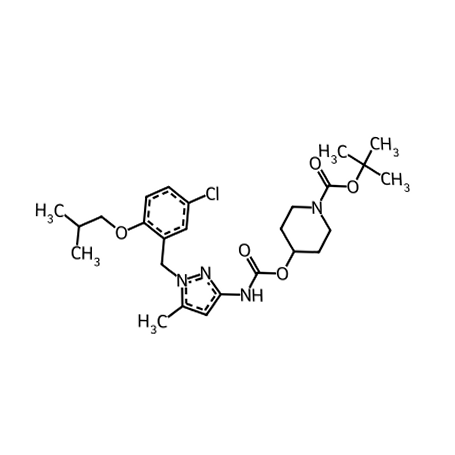 Cc1cc(NC(=O)OC2CCN(C(=O)OC(C)(C)C)CC2)nn1Cc1cc(Cl)ccc1OCC(C)C